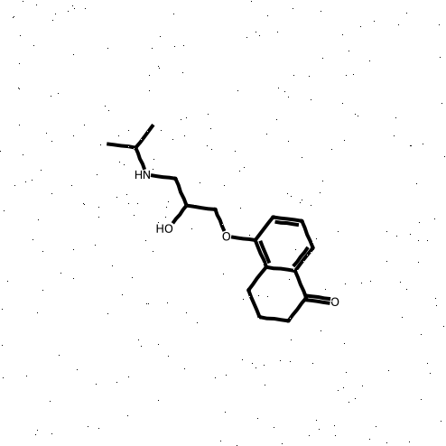 CC(C)NCC(O)COc1cccc2c1CCCC2=O